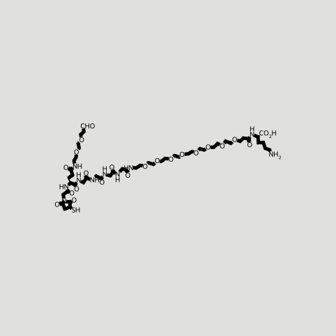 NCCCC[C@H](NC(=O)CCOCCOCCOCCOCCOCCOCCOCCOCCNC(=O)CNC(=O)CNC(=O)CNC(=O)CNC(=O)[C@H](CCC(=O)NCCOCCOCCC=O)NC(=O)CN1C(=O)CC(S)C1=O)C(=O)O